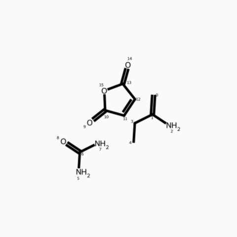 C=C(N)CC.NC(N)=O.O=C1C=CC(=O)O1